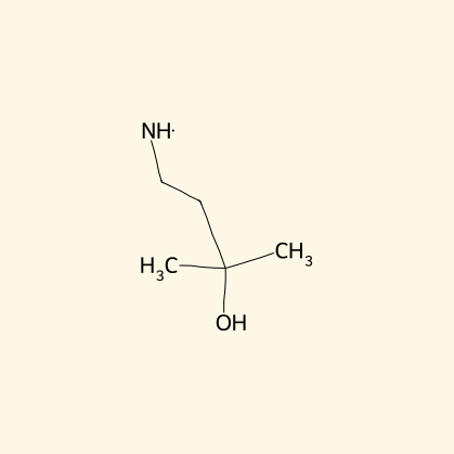 CC(C)(O)CC[NH]